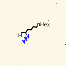 [2H]CC(CCCCCCCCCC)N=[N+]=[N-]